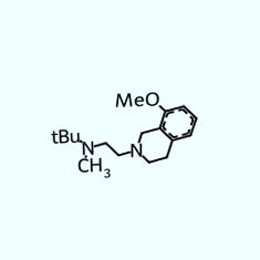 COc1cccc2c1CN(CCN(C)C(C)(C)C)CC2